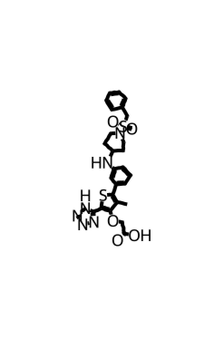 Cc1c(-c2cccc(NC3CCN(S(=O)(=O)Cc4ccccc4)CC3)c2)sc(-c2nnn[nH]2)c1OCC(=O)O